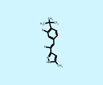 Cc1cc(C(F)=Cc2ccc(C(C)(C)C(F)(F)F)c(F)c2)n[nH]1